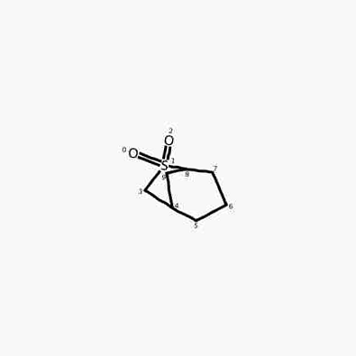 O=S1(=O)CC2CCCC1C2